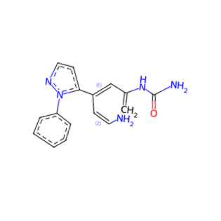 C=C(/C=C(\C=C/N)c1ccnn1-c1ccccc1)NC(N)=O